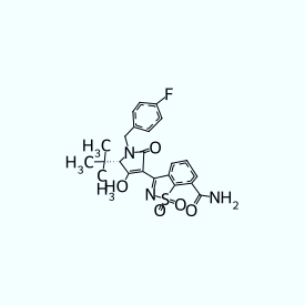 CC(C)(C)[C@H]1C(O)=C(C2=NS(=O)(=O)c3c(C(N)=O)cccc32)C(=O)N1Cc1ccc(F)cc1